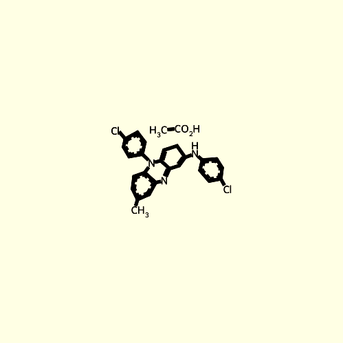 CC(=O)O.Cc1ccc2c(c1)N=C1C=C(Nc3ccc(Cl)cc3)CC=C1N2c1ccc(Cl)cc1